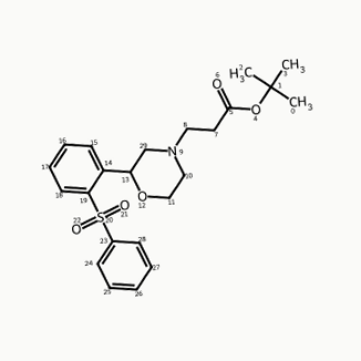 CC(C)(C)OC(=O)CCN1CCOC(c2ccccc2S(=O)(=O)c2ccccc2)C1